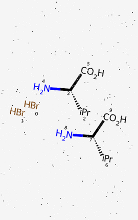 Br.Br.CC(C)[C@H](N)C(=O)O.CC(C)[C@H](N)C(=O)O